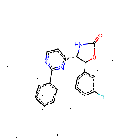 O=C1N[C@@H](c2ccnc(-c3ccccc3)n2)[C@H](c2cccc(F)c2)O1